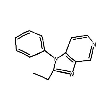 CCc1nc2cnccc2n1-c1ccccc1